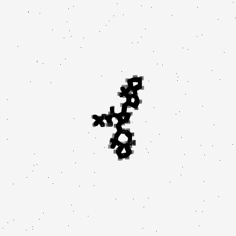 CN(C(=O)OC(C)(C)C)C1=C(/C=C2\C=C/Nc3ccccc3C(C)(C)C2)C=C/C1=C\c1ccn2c1C(C)(C)c1ccccc1-2